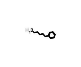 BCCCCCc1ccccc1